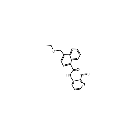 CCOCc1ccc(C(=O)Nc2cccnc2[C]=O)c2ccccc12